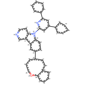 c1ccc(-c2cc(-c3ccccc3)nc(-n3c4ccncc4c4cc(-c5cccoc6ccccc6cc5)ccc43)c2)cc1